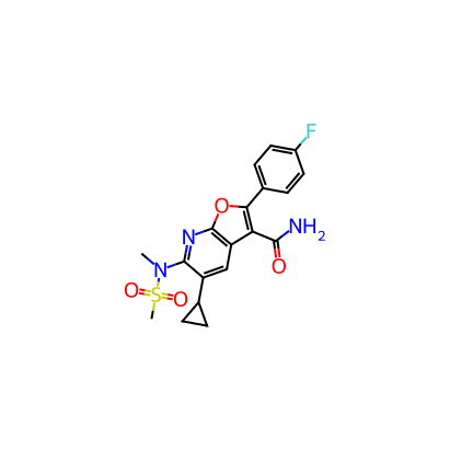 CN(c1nc2oc(-c3ccc(F)cc3)c(C(N)=O)c2cc1C1CC1)S(C)(=O)=O